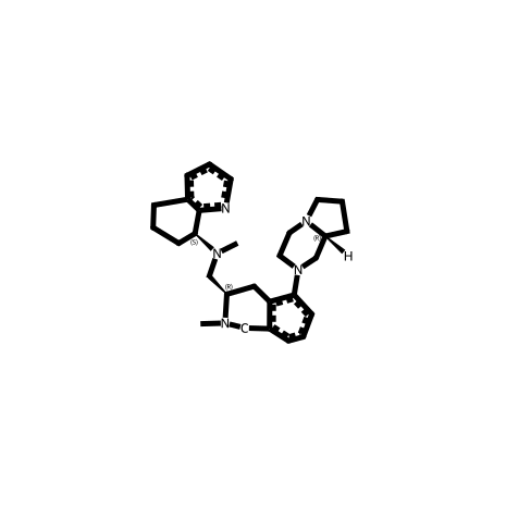 CN1Cc2cccc(N3CCN4CCC[C@@H]4C3)c2C[C@@H]1CN(C)[C@H]1CCCc2cccnc21